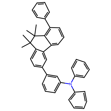 CC1(C)c2ccc(-c3cccc(N(c4ccccc4)c4ccccc4)c3)cc2-c2cccc(-c3ccccc3)c2C1(C)C